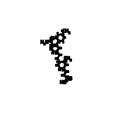 Cc1ccc2c(c1)nc(N)c1ncc(CCc3ccc(/C=C/C(=O)O)cc3C)cc12